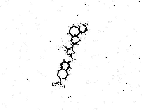 CCN(CC)[C@H]1CCc2ccc(Nc3nc(N)n(-c4cc5c(nn4)-c4cccnc4CCC5)n3)cc2CC1